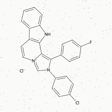 Fc1ccc(-c2c3c4[nH]c5ccccc5c4cc[n+]3cn2-c2ccc(Cl)cc2)cc1.[Cl-]